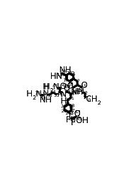 C=CCNC(=O)C(Cc1ccc(C(=N)N)cc1)C(=O)NC(CCc1ccccc1)C(=O)N[C@@H](CCCNC(=N)N)C(N)=O.O=C(O)C(F)(F)F